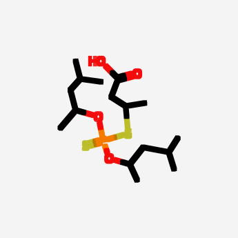 CC(C)CC(C)OP(=S)(OC(C)CC(C)C)SC(C)CC(=O)O